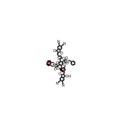 N#Cc1cc2c(cc1C#N)C(=O)C(=Cc1cc3c(s1)-c1cc4c(cc1C(C(=O)OCc1ccccc1)(C(=O)OCc1ccccc1)O3)-c1sc(/C=C3\C(=O)c5cc(C#N)c(C#N)cc5C3O)cc1OC4(C(=O)OCc1ccccc1)C(=O)OCc1ccccc1)C2=O